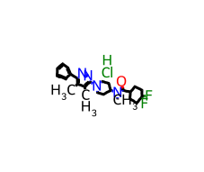 Cc1c(-c2ccccc2)nnc(N2CCC(N(C)C(=O)C3CCC(F)(F)CC3)CC2)c1C.Cl